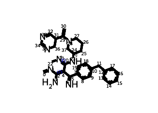 C=N/C(N)=C(C(=N)c1ccc(Cc2ccccc2)cc1)\C(=N/C)N[C@@H]1CCCN(C(=C)C2C=NC=NC2)C1